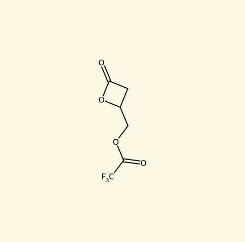 O=C1CC(COC(=O)C(F)(F)F)O1